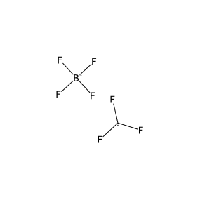 F[B-](F)(F)F.F[C](F)F